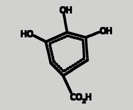 O=[13C](O)c1cc(O)c(O)c(O)c1